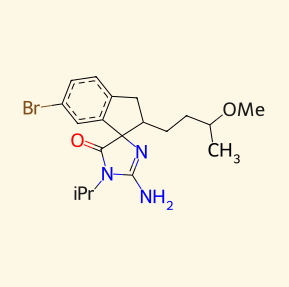 COC(C)CCC1Cc2ccc(Br)cc2C12N=C(N)N(C(C)C)C2=O